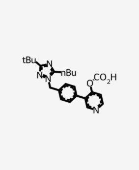 CCCCc1nc(C(C)(C)C)nn1Cc1ccc(-c2cnccc2OC(=O)O)cc1